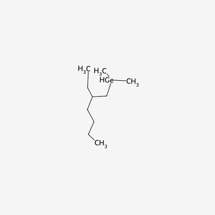 CCCCC(CC)[CH2][GeH]([CH3])[CH3]